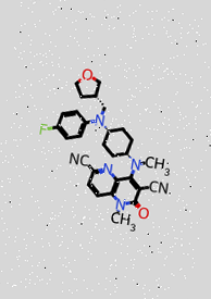 Cn1c(=O)c(C#N)c(N(C)[C@H]2CC[C@@H](N(C[C@@H]3CCOC3)c3ccc(F)cc3)CC2)c2nc(C#N)ccc21